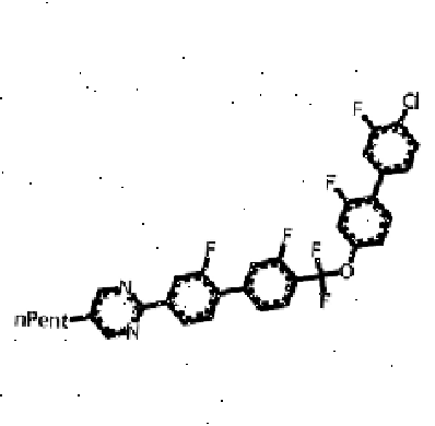 CCCCCc1cnc(-c2ccc(-c3ccc(C(F)(F)Oc4ccc(-c5ccc(Cl)c(F)c5)c(F)c4)c(F)c3)c(F)c2)nc1